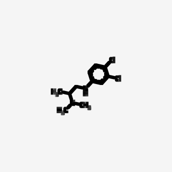 CC(CNc1ccc(Cl)c(Cl)c1)N(C)C